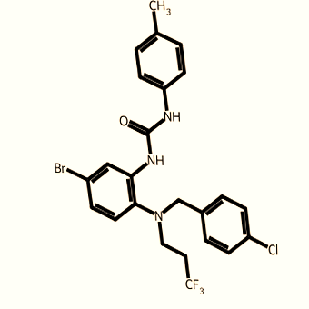 Cc1ccc(NC(=O)Nc2cc(Br)ccc2N(CCC(F)(F)F)Cc2ccc(Cl)cc2)cc1